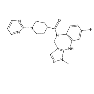 Cn1ncc2c1Nc1cc(F)ccc1N(C(=O)C1CCN(c3ncccn3)CC1)C2